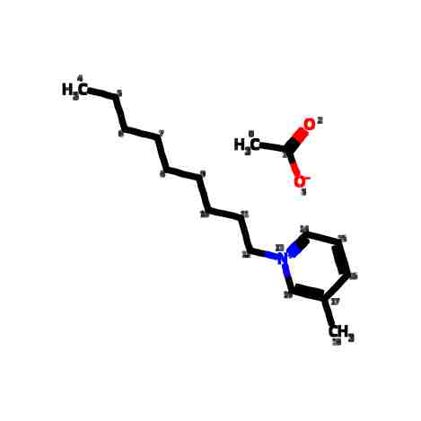 CC(=O)[O-].CCCCCCCCC[n+]1cccc(C)c1